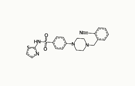 N#Cc1ccccc1CN1CCN(c2ccc(S(=O)(=O)Nc3nccs3)cc2)CC1